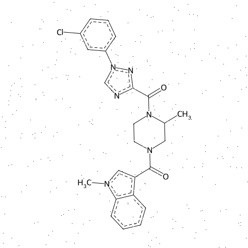 CC1CN(C(=O)c2cn(C)c3ccccc23)CCN1C(=O)c1ncn(-c2cccc(Cl)c2)n1